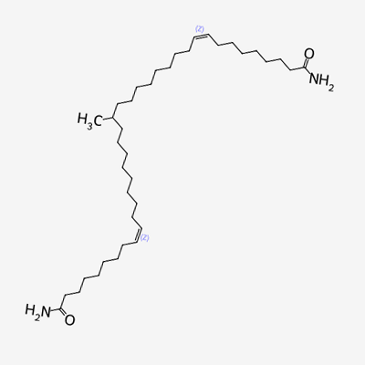 CC(CCCCCCCC/C=C\CCCCCCCC(N)=O)CCCCCCCC/C=C\CCCCCCCC(N)=O